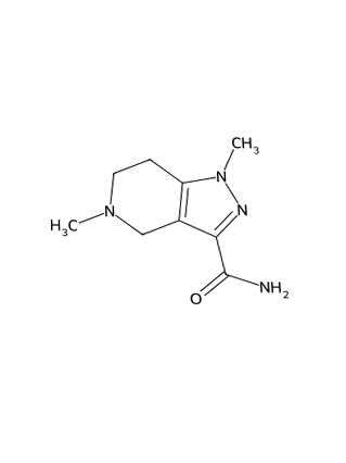 CN1CCc2c(c(C(N)=O)nn2C)C1